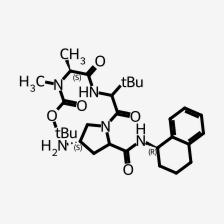 C[C@@H](C(=O)NC(C(=O)N1C[C@@H](N)CC1C(=O)N[C@@H]1CCCc2ccccc21)C(C)(C)C)N(C)C(=O)OC(C)(C)C